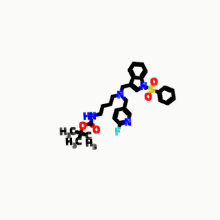 CC(C)(C)OC(=O)NCCCCN(Cc1ccc(F)nc1)Cc1cn(S(=O)(=O)c2ccccc2)c2ccccc12